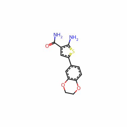 NC(=O)c1cc(-c2ccc3c(c2)OCCO3)sc1N